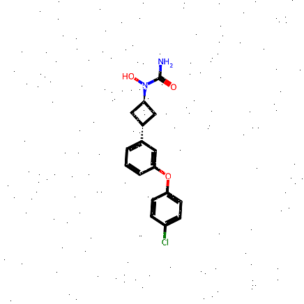 NC(=O)N(O)[C@H]1C[C@H](c2cccc(Oc3ccc(Cl)cc3)c2)C1